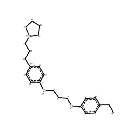 CCc1ccc(OCCCOc2ccc(CCCN3CCCC3)cc2)cc1